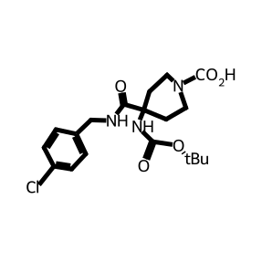 CC(C)(C)OC(=O)NC1(C(=O)NCc2ccc(Cl)cc2)CCN(C(=O)O)CC1